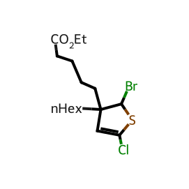 CCCCCCC1(CCCCC(=O)OCC)C=C(Cl)SC1Br